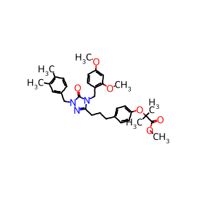 COC(=O)C(C)(C)Oc1ccc(CCCc2nn(Cc3ccc(C)c(C)c3)c(=O)n2Cc2ccc(OC)cc2OC)cc1